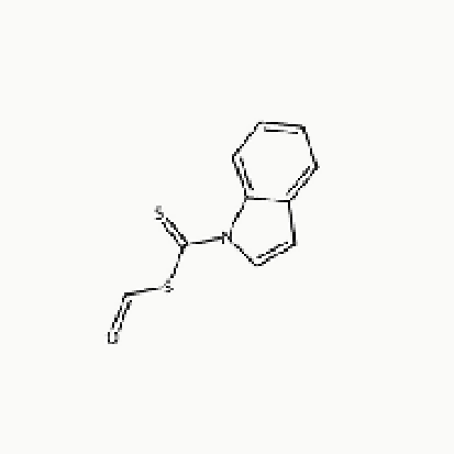 O=CSC(=S)n1ccc2ccccc21